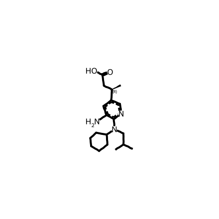 CC(C)CN(c1ncc([C@H](C)CC(=O)O)cc1N)C1CCCCC1